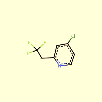 FC(F)(F)[CH]c1cc(Cl)ccn1